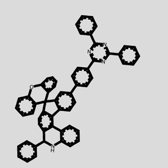 c1ccc(-c2nc(-c3ccccc3)nc(-c3ccc(-c4ccc5c(c4)C4(c6ccccc6Oc6ccccc64)c4ccc6c(c4-5)-c4ccccc4NC6c4ccccc4)cc3)n2)cc1